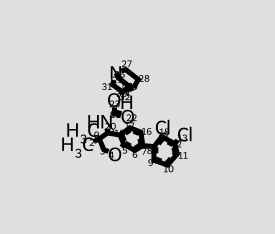 CC1(C)COc2cc(-c3cccc(Cl)c3Cl)ccc2C1NC(=O)O[C@H]1CN2CCC1CC2